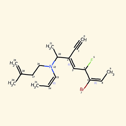 C#C/C(=C\C(F)/C(Br)=C\C)C(C)N(/C=C\C)CCC(=C)C